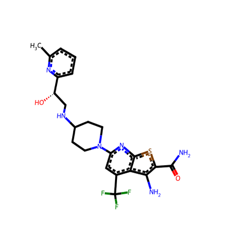 Cc1cccc([C@@H](O)CNC2CCN(c3cc(C(F)(F)F)c4c(N)c(C(N)=O)sc4n3)CC2)n1